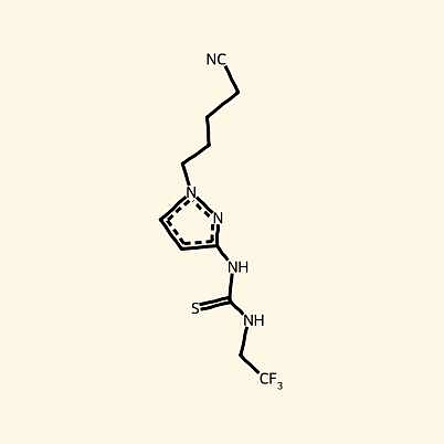 N#CCCCCn1ccc(NC(=S)NCC(F)(F)F)n1